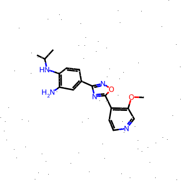 COc1cnccc1-c1nc(-c2ccc(NC(C)C)c(N)c2)no1